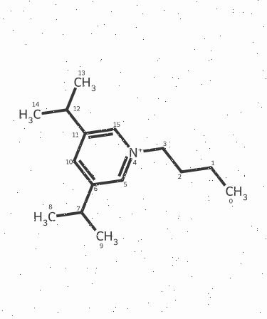 CCCC[n+]1cc(C(C)C)cc(C(C)C)c1